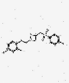 O=S(=O)(CC1CN(CCc2ccc(F)cc2F)C1)c1ccc(F)cc1